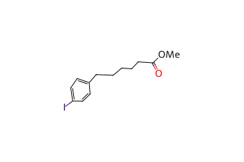 COC(=O)CCCCCc1ccc(I)cc1